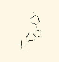 CCOC(=O)C(C)(C)Sc1ccc2c(-c3ccc(Cl)cc3)noc2c1